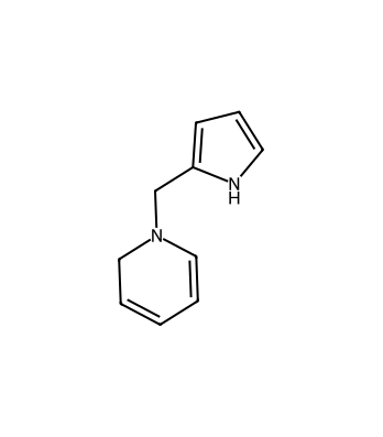 C1=CCN(Cc2ccc[nH]2)C=C1